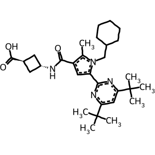 Cc1c(C(=O)N[C@H]2C[C@H](C(=O)O)C2)cc(-c2nc(C(C)(C)C)cc(C(C)(C)C)n2)n1CC1CCCCC1